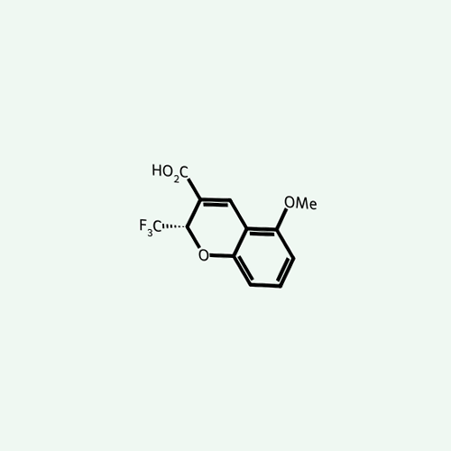 COc1cccc2c1C=C(C(=O)O)[C@@H](C(F)(F)F)O2